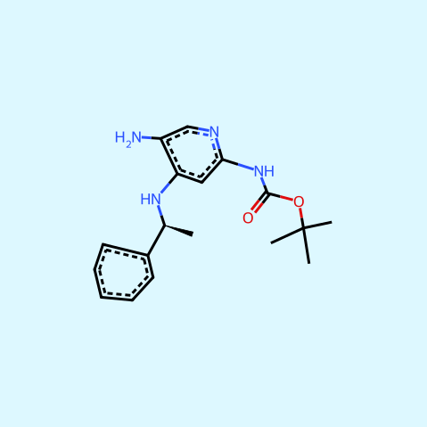 C[C@H](Nc1cc(NC(=O)OC(C)(C)C)ncc1N)c1ccccc1